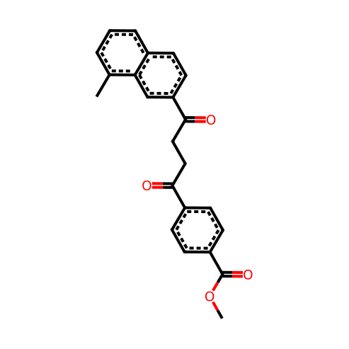 COC(=O)c1ccc(C(=O)CCC(=O)c2ccc3cccc(C)c3c2)cc1